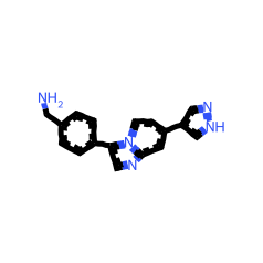 NCc1ccc(-c2cnc3cc(-c4cn[nH]c4)ccn23)cc1